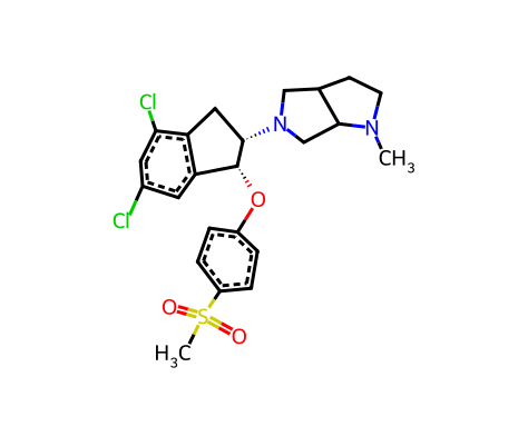 CN1CCC2CN([C@H]3Cc4c(Cl)cc(Cl)cc4[C@H]3Oc3ccc(S(C)(=O)=O)cc3)CC21